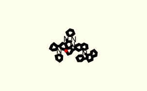 c1ccc(-n2c3ccccc3c3cc(-c4nc5ccccc5nc4-n4c5ccccc5c5cc6c(-n7c8ccccc8c8ccc9ccccc9c87)cccc6cc54)ccc32)cc1